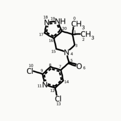 CC1(C)CN(C(=O)c2cc(Cl)nc(Cl)c2)Cc2cn[nH]c21